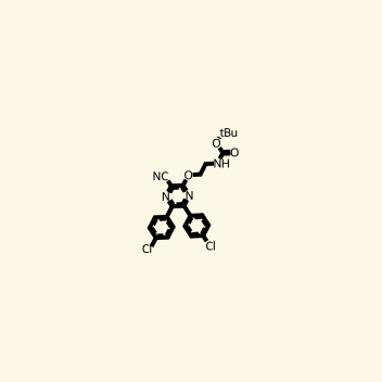 CC(C)(C)OC(=O)NCCOc1nc(-c2ccc(Cl)cc2)c(-c2ccc(Cl)cc2)nc1C#N